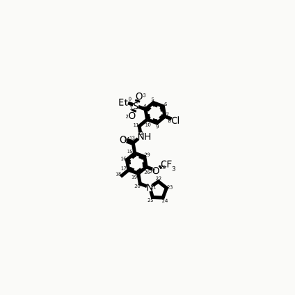 CCS(=O)(=O)c1ccc(Cl)cc1CNC(=O)c1cc(C)c(CN2CCCC2)c(OC(F)(F)F)c1